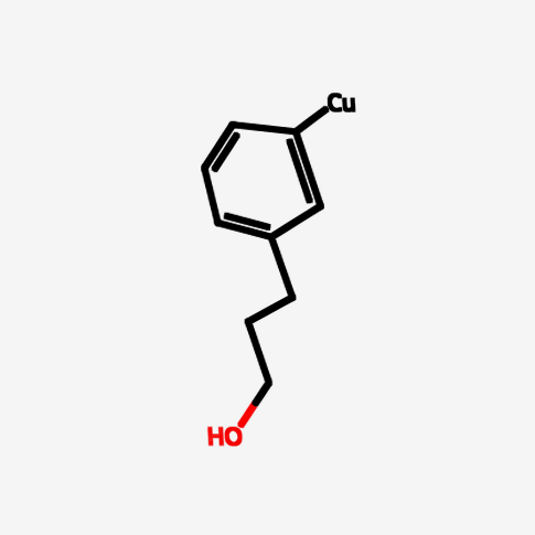 OCCCc1ccc[c]([Cu])c1